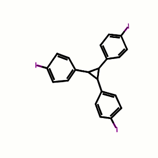 Ic1ccc(C2C(c3ccc(I)cc3)C2c2ccc(I)cc2)cc1